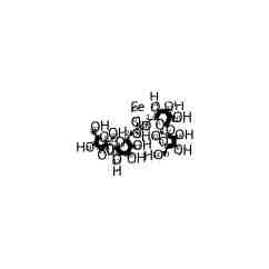 O=[N+](OC[C@H]1O[C@H](O[C@]2(CO)O[C@H](CO)[C@@H](O)[C@@H]2O)[C@H](O)[C@@H](O)[C@@H]1O)OC[C@H]1O[C@H](O[C@]2(CO)O[C@H](CO)[C@@H](O)[C@@H]2O)[C@H](O)[C@@H](O)[C@@H]1O.[Fe]